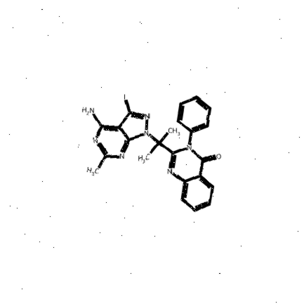 Cc1nc(N)c2c(I)nn(C(C)(C)c3nc4ccccc4c(=O)n3-c3ccccc3)c2n1